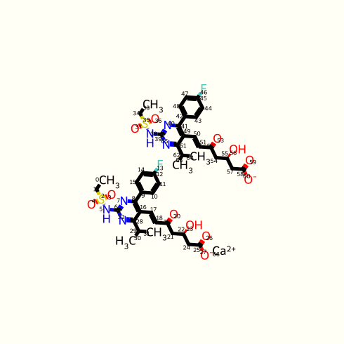 CCS(=O)(=O)Nc1nc(-c2ccc(F)cc2)c(/C=C/C(=O)C[C@@H](O)CC(=O)[O-])c(C(C)C)n1.CCS(=O)(=O)Nc1nc(-c2ccc(F)cc2)c(/C=C/C(=O)C[C@@H](O)CC(=O)[O-])c(C(C)C)n1.[Ca+2]